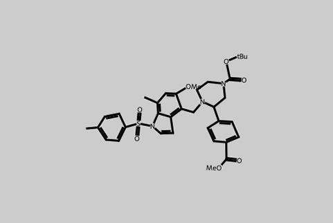 COC(=O)c1ccc(C2CN(C(=O)OC(C)(C)C)CCN2Cc2c(OC)cc(C)c3c2ccn3S(=O)(=O)c2ccc(C)cc2)cc1